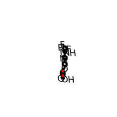 O=C(O)C12CCC(COC3CCN(c4ccc(-c5nc6c(F)c(F)cc(F)c6[nH]5)cn4)CC3)(CC1)CC2